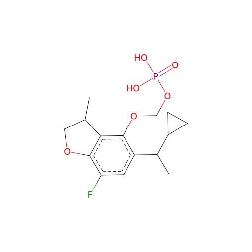 CC1COc2c(F)cc(C(C)C3CC3)c(OCOP(=O)(O)O)c21